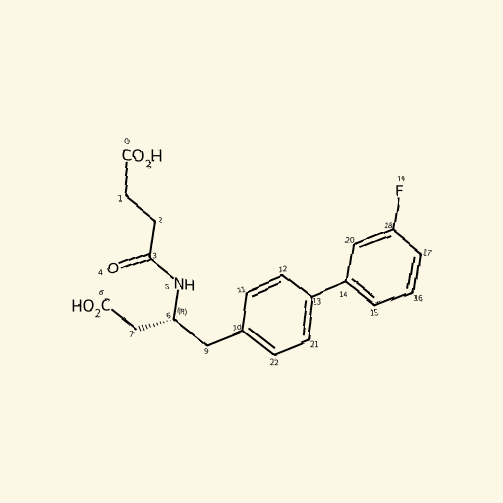 O=C(O)CCC(=O)N[C@@H](CC(=O)O)Cc1ccc(-c2cccc(F)c2)cc1